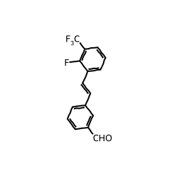 O=Cc1cccc(/C=C/c2cccc(C(F)(F)F)c2F)c1